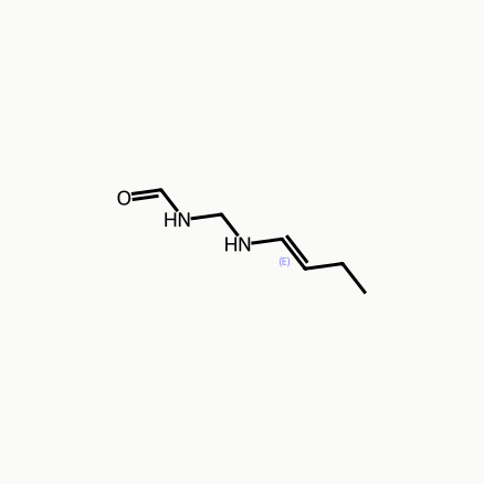 CC/C=C/NCNC=O